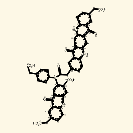 O=C(O)Cc1ccc(N(C(=O)Cc2ccc3[nH]c4cc5c(=O)c6cc(CC(=O)O)ccc6[nH]c5cc4c(=O)c3c2)c2cc3c(=O)c4cc(CC(=O)O)ccc4[nH]c3cc2C(=O)O)cc1